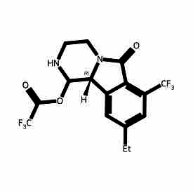 CCc1cc2c(c(C(F)(F)F)c1)C(=O)N1CCNC(OC(=O)C(F)(F)F)[C@@H]21